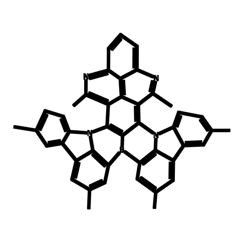 Cc1ccc2c(c1)c1cc(C)cc3c1n2-c1c2c(c4c(C)nc5cccc6nc(C)c1c4c65)-n1c4ccc(C)cc4c4cc(C)cc(c41)B23